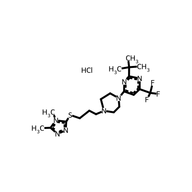 Cc1nnc(SCCCN2CCN(c3cc(C(F)(F)F)nc(C(C)(C)C)n3)CC2)n1C.Cl